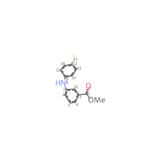 COC(=O)c1cccc(Nc2ccc(F)cc2)c1